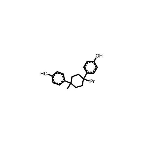 CC(C)C1(c2ccc(O)cc2)CCC(C)(c2ccc(O)cc2)CC1